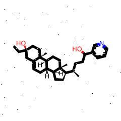 CC[C@]1(O)CC[C@@]2(C)C(=CC[C@H]3[C@@H]4CC[C@H]([C@H](C)CCC(O)c5cccnc5)[C@@]4(C)CC[C@@H]32)C1